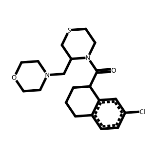 O=C(C1CCCc2ccc(Cl)cc21)N1CCSCC1CN1CCOCC1